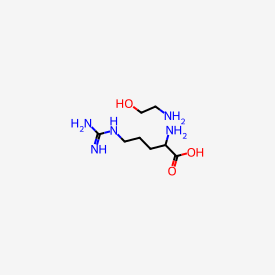 N=C(N)NCCCC(N)C(=O)O.NCCO